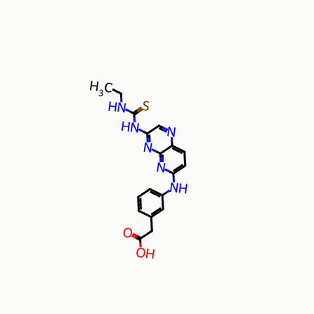 CCNC(=S)Nc1cnc2ccc(Nc3cccc(CC(=O)O)c3)nc2n1